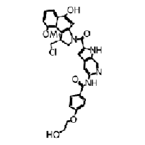 COc1cccc2c(O)cc3c(c12)[C@H](CCl)CN3C(=O)c1cc2cc(NC(=O)c3ccc(OCCO)cc3)ncc2[nH]1